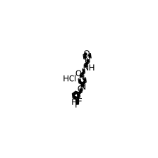 Cl.O=C(CCNCCN1CCOCC1)N1CCC(=NOCc2cccc(C(F)(F)F)c2)CC1